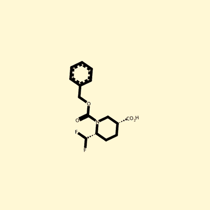 O=C(O)[C@@H]1CC[C@H](C(F)F)N(C(=O)OCc2ccccc2)C1